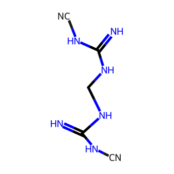 N#CNC(=N)NCNC(=N)NC#N